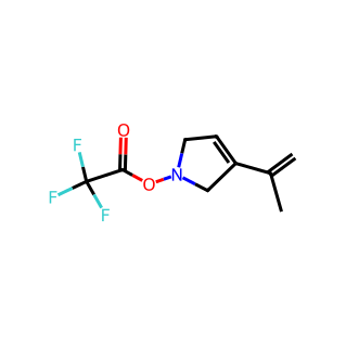 C=C(C)C1=CCN(OC(=O)C(F)(F)F)C1